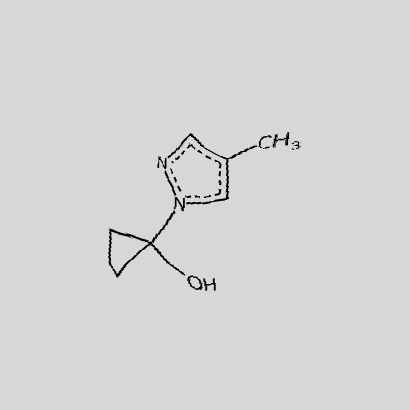 Cc1cnn(C2(O)CC2)c1